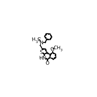 COc1cccc2c(=O)[nH]c3sc(CN(C)Cc4ccccc4)cc3c12